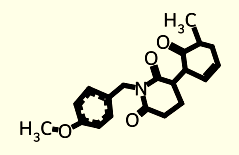 COc1ccc(CN2C(=O)CCC(C3C=CCC(C)C3=O)C2=O)cc1